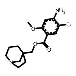 COc1cc(N)c(Cl)cc1C(=O)OCC12CCCN(CC1)C2